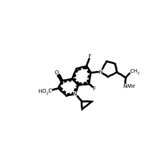 CNC(C)C1CCN(c2c(F)cc3c(=O)c(C(=O)O)cn(C4CC4)c3c2F)C1